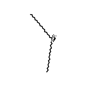 CCCCCCCCCCCCCCCCCc1n(CCCCCCCCCCCCCCCCC)cc[n+]1C